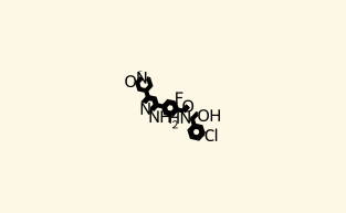 CN1CCC(c2cnc(N)c(-c3ccc(C(=O)NC(CO)c4cccc(Cl)c4)c(F)c3)c2)CC1=O